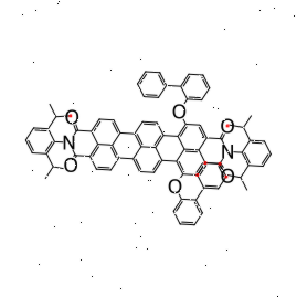 CC(C)c1cccc(C(C)C)c1N1C(=O)c2ccc3c4ccc5c6c(Oc7ccccc7-c7ccccc7)cc7c8c(cc(Oc9ccccc9-c9ccccc9)c(c9ccc(c%10ccc(c2c3%10)C1=O)c4c59)c86)C(=O)N(c1c(C(C)C)cccc1C(C)C)C7=O